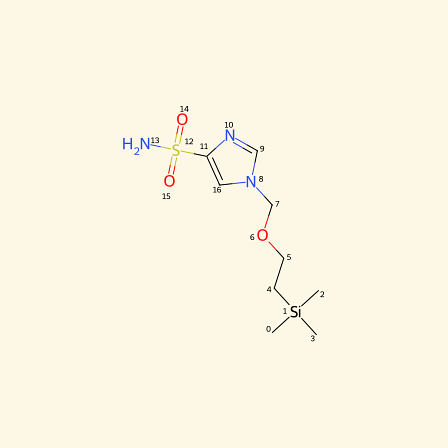 C[Si](C)(C)CCOCn1cnc(S(N)(=O)=O)c1